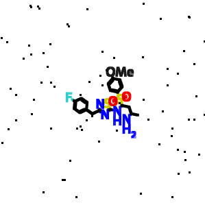 COc1ccc(S(=O)(=O)C(CC(C)N)Nc2nc(Cc3ccc(F)cc3)ns2)cc1